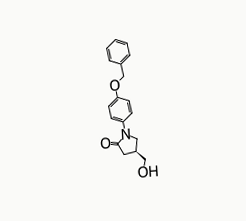 O=C1C[C@H](CO)CN1c1ccc(OCc2ccccc2)cc1